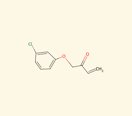 C=CC(=O)COc1cccc(Cl)c1